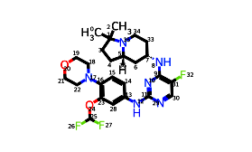 CC1(C)CC[C@H]2C[C@@H](Nc3nc(Nc4ccc(N5CCOCC5)c(OC(F)F)c4)ncc3F)CCN21